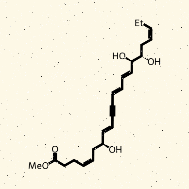 CC/C=C\C[C@H](O)[C@H](O)/C=C/C=C/C#C/C=C/[C@@H](O)C/C=C\CCC(=O)OC